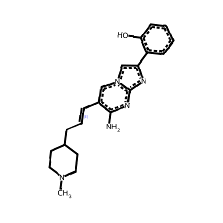 CN1CCC(C/C=C/c2cn3cc(-c4ccccc4O)nc3nc2N)CC1